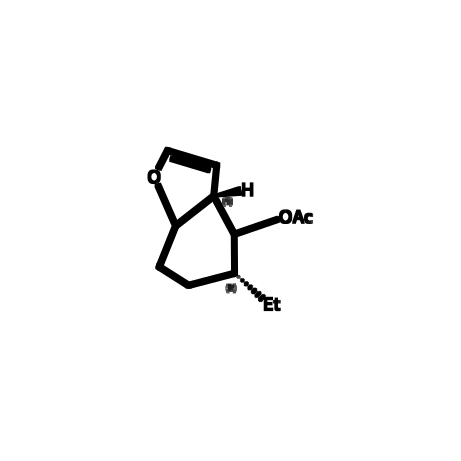 CC[C@@H]1CCC2OC=C[C@@H]2C1OC(C)=O